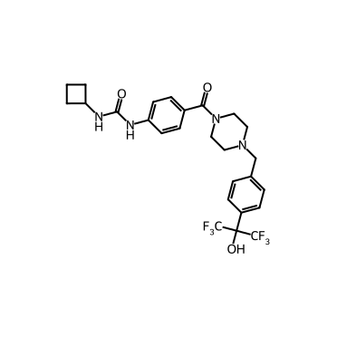 O=C(Nc1ccc(C(=O)N2CCN(Cc3ccc(C(O)(C(F)(F)F)C(F)(F)F)cc3)CC2)cc1)NC1CCC1